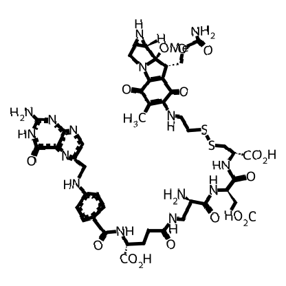 CO[C@@]12[C@H](COC(N)=O)C3=C(C(=O)C(C)=C(NCCSSC[C@@H](NC(=O)[C@@H](CC(=O)O)NC(=O)[C@H](N)CNC(=O)CC[C@@H](NC(=O)c4ccc(NCc5cnc6nc(N)[nH]c(=O)c6n5)cc4)C(=O)O)C(=O)O)C3=O)N1CC1N[C@@H]12